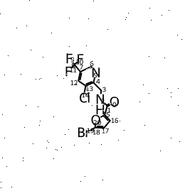 O=C(NCc1ncc(C(F)(F)F)cc1Cl)c1ccc(Br)o1